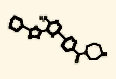 Nc1ncc(-c2ccc(C(=O)N3CCCNCC3)nc2)nc1-c1nnc(-c2ccccc2)o1